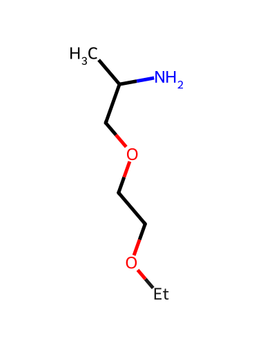 CCOCCOCC(C)N